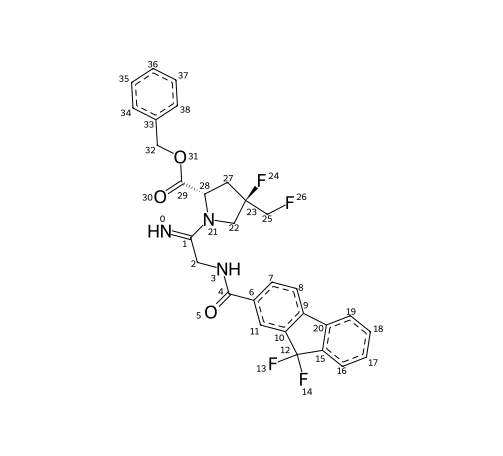 N=C(CNC(=O)c1ccc2c(c1)C(F)(F)c1ccccc1-2)N1C[C@@](F)(CF)C[C@H]1C(=O)OCc1ccccc1